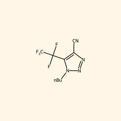 CCCCn1nnc(C#N)c1C(F)(F)C(F)(F)F